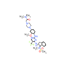 COc1cc(N2CCN(CC(=O)N(C)C)CC2)ccc1Nc1ncc(C(F)(F)F)c(N[C@@H]2Cc3ccccc3[C@H]2N(C)S(C)(=O)=O)n1